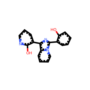 Oc1ccccc1-c1nc(-c2cccnc2O)c2ccccn12